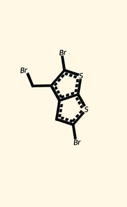 BrCc1c(Br)sc2sc(Br)cc12